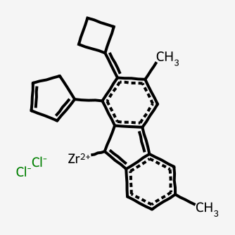 Cc1ccc2c(c1)=c1cc(C)c(=C3CCC3)c(C3=CC=CC3)c1[C]=2[Zr+2].[Cl-].[Cl-]